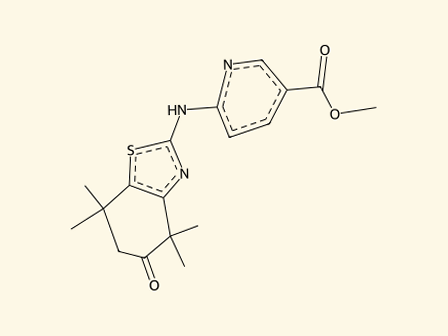 COC(=O)c1ccc(Nc2nc3c(s2)C(C)(C)CC(=O)C3(C)C)nc1